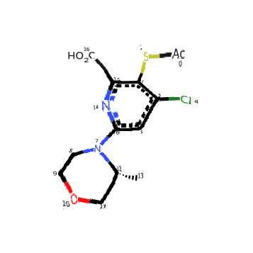 CC(=O)Sc1c(Cl)cc(N2CCOC[C@H]2C)nc1C(=O)O